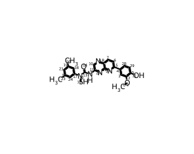 COc1cc(-c2ccc3ncc(NC(=O)N(S)c4cc(C)cc(C)c4)nc3n2)ccc1O